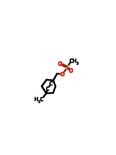 CC12CCC(COS(C)(=O)=O)(CC1)CC2